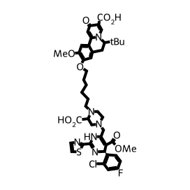 COC(=O)C1=C(CN2CCN(CCCCCCOc3cc4c(cc3OC)-c3cc(=O)c(C(=O)O)cn3C(C(C)(C)C)C4)C(C(=O)O)C2)NC(c2nccs2)=N[C@H]1c1ccc(F)cc1Cl